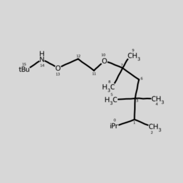 CC(C)C(C)C(C)(C)CC(C)(C)OCCONC(C)(C)C